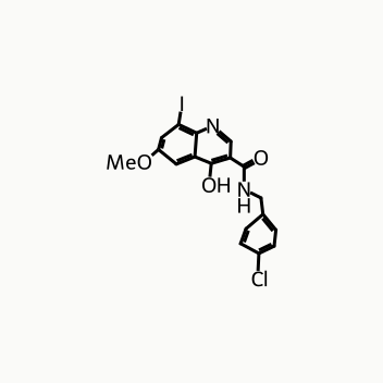 COc1cc(I)c2ncc(C(=O)NCc3ccc(Cl)cc3)c(O)c2c1